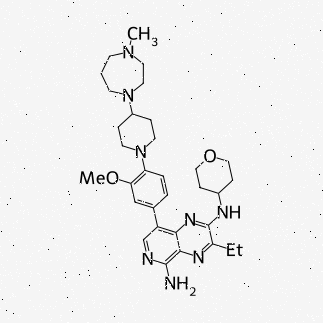 CCc1nc2c(N)ncc(-c3ccc(N4CCC(N5CCCN(C)CC5)CC4)c(OC)c3)c2nc1NC1CCOCC1